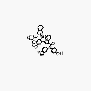 Cn1ccc2cc(N(C(=O)c3cc(-c4cc5c(cc4C(=O)N4Cc6ccccc6C[C@H]4CN4CCOCC4)OCCO5)n4ccccc34)c3ccc(O)cc3)ccc21